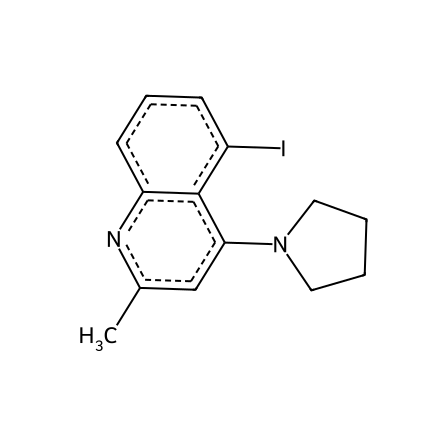 Cc1cc(N2CCCC2)c2c(I)cccc2n1